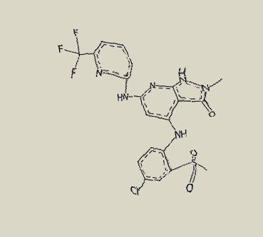 Cn1[nH]c2nc(Nc3cccc(C(F)(F)F)n3)cc(Nc3ccc(Cl)cc3S(C)(=O)=O)c2c1=O